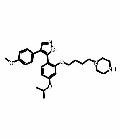 COc1ccc(-c2cnoc2-c2ccc(OC(C)C)cc2OCCCCN2CCNCC2)cc1